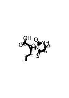 CCCC1OC1C(=O)O.O=c1[nH]ccc(=S)[nH]1